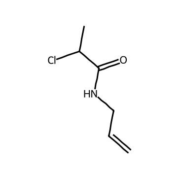 C=CCNC(=O)C(C)Cl